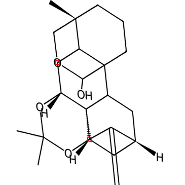 C=C1[C@H]2CC[C@@]34C(C2)C25CCC[C@@](C)(COC2O)C5C[C@H]3OC(C)(C)O[C@@H]14